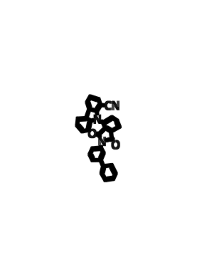 N#Cc1cccc2c3ccccc3n(-c3cccc4c3C(=O)N(c3cccc(-c5ccccc5)c3)C4=O)c12